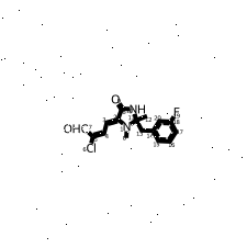 CN1/C(=C\C=C(\Cl)C=O)C(=O)NC1(C)Cc1cccc(F)c1